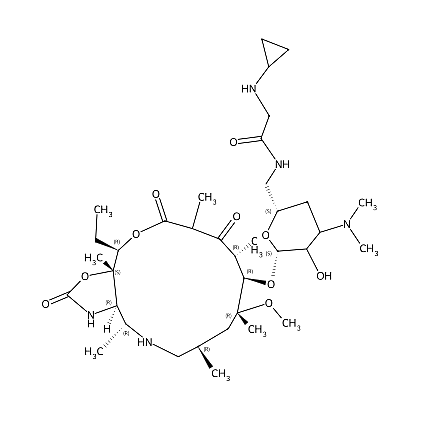 CC[C@H]1OC(=O)C(C)C(=O)[C@H](C)[C@@H](O[C@@H]2O[C@H](CNC(=O)CNC3CC3)CC(N(C)C)C2O)[C@](C)(OC)C[C@@H](C)CN[C@H](C)[C@H]2NC(=O)O[C@@]21C